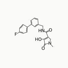 CN1CC(C(=O)NCc2cccc(-c3ccc(F)cc3)c2)=C(O)C1=O